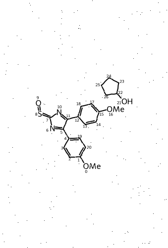 COc1ccc(C2=NC(=S=O)N=C2c2ccc(OC)cc2)cc1.OC1CCCC1